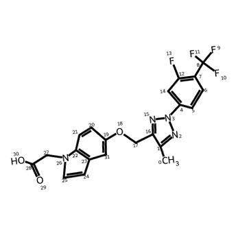 Cc1nn(-c2ccc(C(F)(F)F)c(F)c2)nc1COc1ccc2c(ccn2CC(=O)O)c1